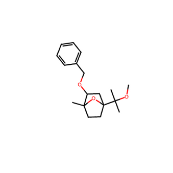 COC(C)(C)C12CCC(C)(O1)C(OCc1ccccc1)C2